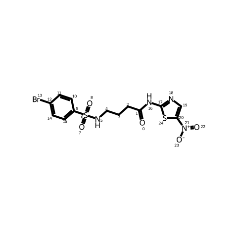 O=C(CCCNS(=O)(=O)c1ccc(Br)cc1)Nc1ncc([N+](=O)[O-])s1